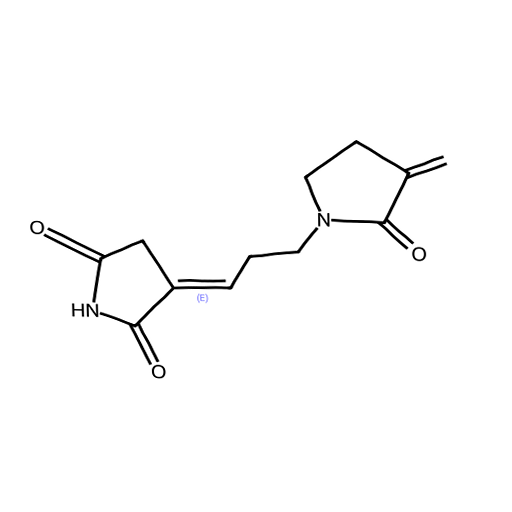 C=C1CCN(CC/C=C2\CC(=O)NC2=O)C1=O